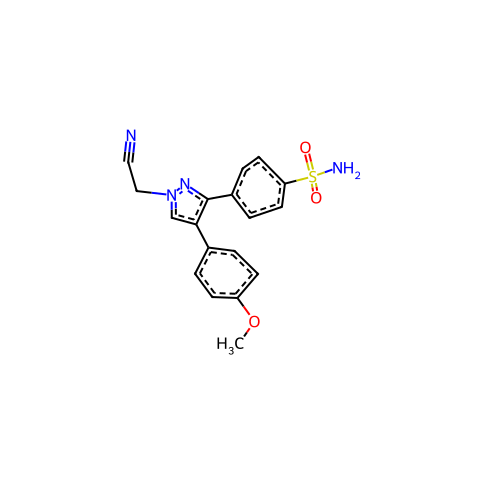 COc1ccc(-c2cn(CC#N)nc2-c2ccc(S(N)(=O)=O)cc2)cc1